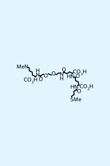 CNCCCCC(NC(=O)COCCOCCNC(=O)CCC(NC(=O)CCC(NC(=O)CCCSC)C(=O)O)C(=O)O)C(=O)O